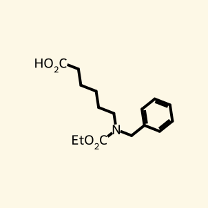 CCOC(=O)N(CCCCCC(=O)O)Cc1ccccc1